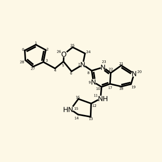 c1ccc(CC2CN(c3nc(NC4CCNC4)c4ccncc4n3)CCO2)cc1